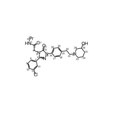 CC(C)NC(=O)Cn1c(-c2cccc(Cl)c2)nn(-c2ccc(CCN3CCCC(O)C3)cc2)c1=O